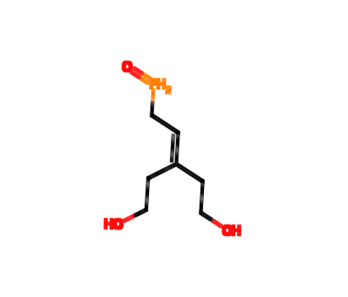 O=[PH2]CC=C(CCO)CCO